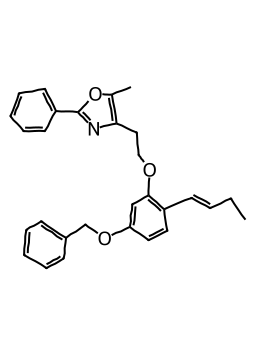 CC/C=C/c1ccc(OCc2ccccc2)cc1OCCc1nc(-c2ccccc2)oc1C